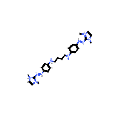 Cn1cc[n+](C)c1N=Nc1ccc(NCCCCNc2ccc(N=Nc3n(C)cc[n+]3C)cc2)cc1